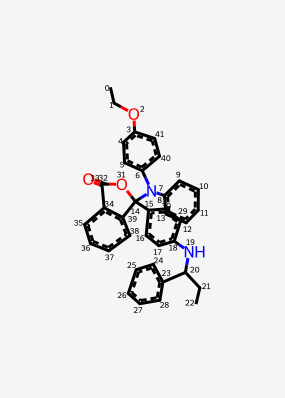 CCOc1ccc(N(c2ccccc2)C2(c3ccc(NC(CC)c4ccccc4)cc3)OC(=O)c3ccccc32)cc1